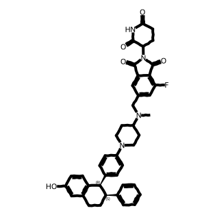 CN(Cc1cc(F)c2c(c1)C(=O)N(C1CCC(=O)NC1=O)C2=O)C1CCN(c2ccc([C@@H]3c4ccc(O)cc4CC[C@@H]3c3ccccc3)cc2)CC1